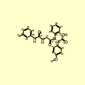 COc1ccc([C@@H](C(=O)O)N(C(=O)CNC(=O)Nc2cccc(C)c2)c2ccccc2)cc1